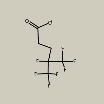 O=C(Cl)CCC(F)(C(F)(F)F)C(F)(F)F